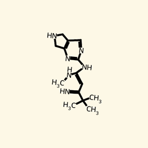 CN/C(=C\C(=N)C(C)(C)C)Nc1ncc2c(n1)CNC2